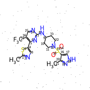 Cc1ncc(-c2nc(NC3CCN(S(=O)(=O)c4c[nH]nc4C)CC3)ncc2C(F)(F)F)s1